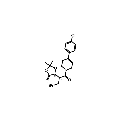 CC(C)C[C@H](C(=O)N1CC=C(c2ccc(Cl)cc2)CC1)[C@@H]1OC(C)(C)OC1=O